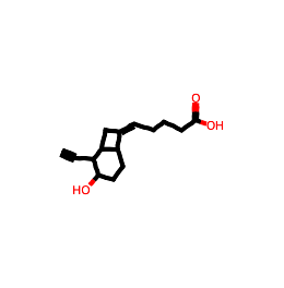 C#CC1C(O)CCC2C(=CCCCC(=O)O)CC21